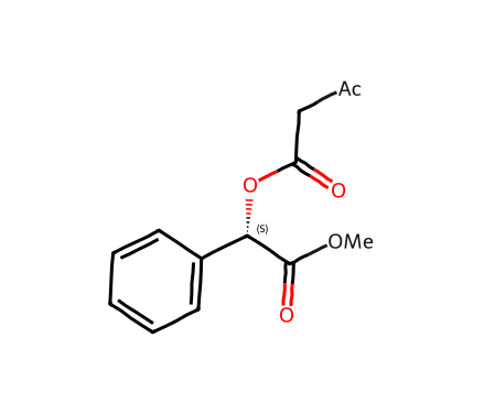 COC(=O)[C@@H](OC(=O)CC(C)=O)c1ccccc1